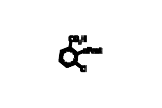 CCCCCc1c(Cl)cccc1C(=O)O